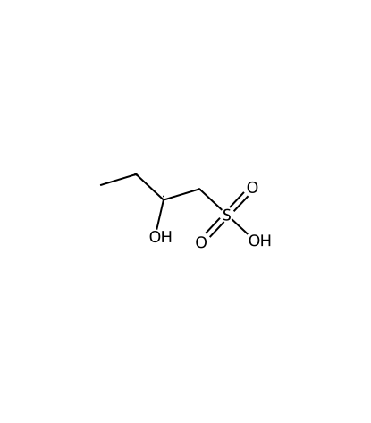 CC[C](O)CS(=O)(=O)O